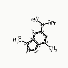 CCCN(c1cc(C)c2snc(C)c2n1)C(C)CC